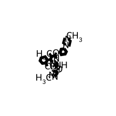 Cc1ccccc1-c1nc(NS(=O)(=O)c2cnn(C)c2)nc(Oc2cccc(N3CCN(C)CC3)c2)c1C